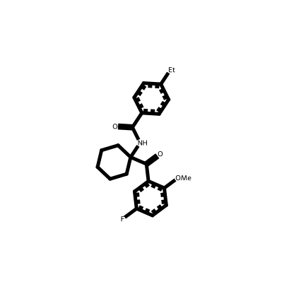 CCc1ccc(C(=O)NC2(C(=O)c3cc(F)ccc3OC)CCCCC2)cc1